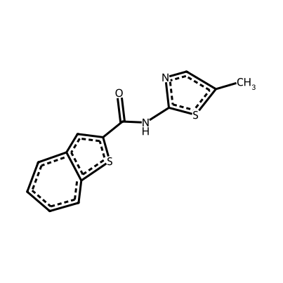 Cc1cnc(NC(=O)c2cc3ccccc3s2)s1